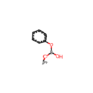 CC(C)OB(O)Oc1ccccc1